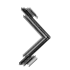 O.O.O.O.O.O.O.O.O.O.O.O.O.O.O.O.O.O.O.O.O.O.O.O.O.O.O.O.O.O.O.O.O.O.O.O.O.O.O.O.[MgH2].[MgH2].[MgH2].[MgH2].[MgH2].[MgH2].[MgH2].[MgH2].[MgH2].[MgH2].[MgH2].[MgH2].[MgH2].[MgH2].[MgH2]